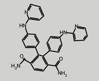 NC(=O)c1ccc(C(N)=O)c(-c2ccc(Nc3ccccn3)cc2)c1-c1ccc(Nc2ccccn2)cc1